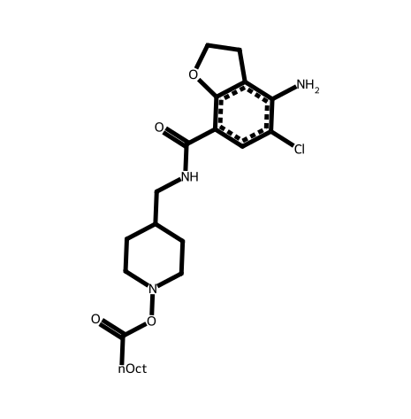 CCCCCCCCC(=O)ON1CCC(CNC(=O)c2cc(Cl)c(N)c3c2OCC3)CC1